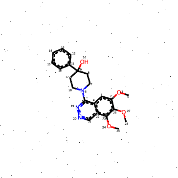 COc1cc2c(N3CCC(O)(c4ccccc4)CC3)nncc2c(OC)c1OC